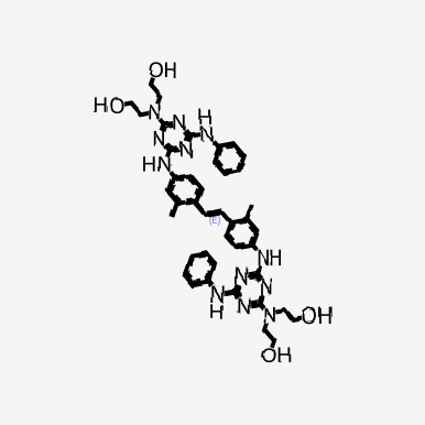 Cc1cc(Nc2nc(Nc3ccccc3)nc(N(CCO)CCO)n2)ccc1/C=C/c1ccc(Nc2nc(Nc3ccccc3)nc(N(CCO)CCO)n2)cc1C